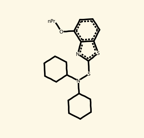 CCCOc1cccc2sc(SN(C3CCCCC3)C3CCCCC3)nc12